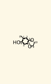 Cc1cc2c(cc1O)OCCO2